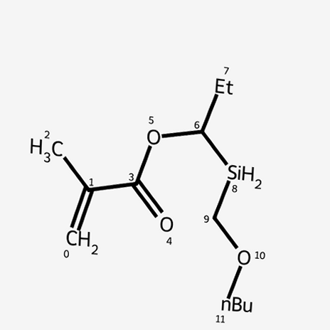 C=C(C)C(=O)OC(CC)[SiH2]COCCCC